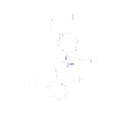 Cc1cccc(C)c1Cn1cc(C)c2ccc(CC(=O)O)cc21